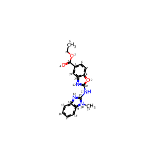 CCOC(=O)c1ccc2oc(Nc3nc4ccccc4n3C)nc2c1